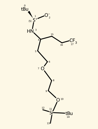 CC(C)(C)[S@@+]([O-])NC(CCOCCO[Si](C)(C)C(C)(C)C)CCC(F)(F)F